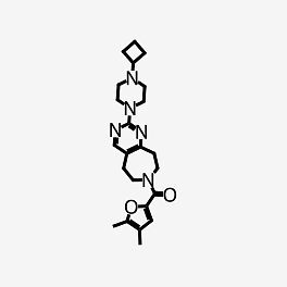 Cc1cc(C(=O)N2CCc3cnc(N4CCN(C5CCC5)CC4)nc3CC2)oc1C